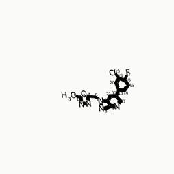 Cc1nnc(Cn2ncc3ncc(-c4ccc(F)c(Cl)c4)cc32)o1